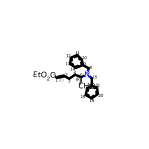 CCOC(=O)/C=C/CC[C@H](C=O)N(Cc1ccccc1)Cc1ccccc1